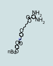 CCCCOc1ccc(OC(=O)/C=C/c2ccc(OCCCCCCOC(=O)c3cc(N)cc(N)c3)cc2)cc1